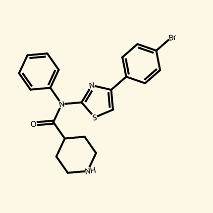 O=C(C1CCNCC1)N(c1ccccc1)c1nc(-c2ccc(Br)cc2)cs1